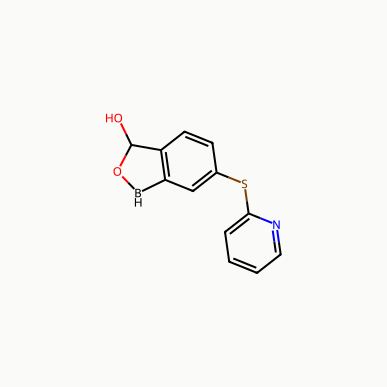 OC1OBc2cc(Sc3ccccn3)ccc21